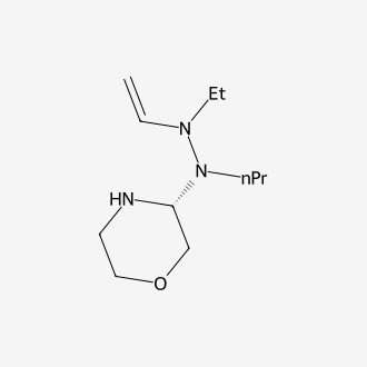 C=CN(CC)N(CCC)[C@@H]1COCCN1